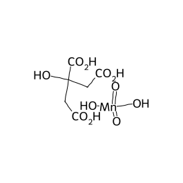 O=C(O)CC(O)(CC(=O)O)C(=O)O.[O]=[Mn](=[O])([OH])[OH]